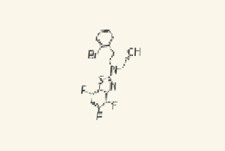 C#CCN(CCc1ccccc1Br)c1nc2c(F)c(F)cc(F)c2s1